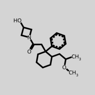 COC(C)CC1CCCCC1(CC(=O)N1CC(O)C1)c1ccccc1